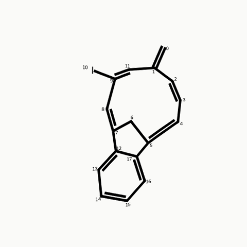 C=C1/C=C\C=C2/C/C(=C\C(I)=C/1)c1ccccc12